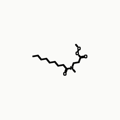 CCCCCCCCC(=O)N(C)CCC(=O)OOC